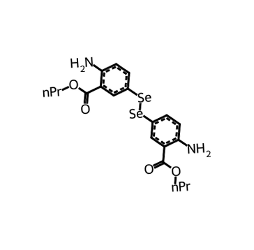 CCCOC(=O)c1cc([Se][Se]c2ccc(N)c(C(=O)OCCC)c2)ccc1N